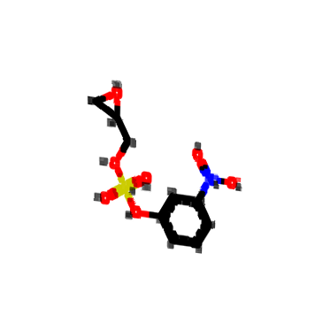 O=[N+]([O-])c1cccc(OS(=O)(=O)OCC2CO2)c1